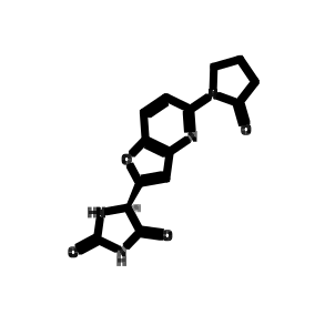 O=C1NC(=O)[C@H](c2cc3nc(N4CCCC4=O)ccc3o2)N1